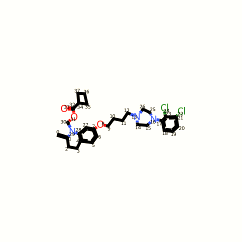 C=C1CCc2ccc(OCCCCN3CCN(c4cccc(Cl)c4Cl)CC3)cc2N1COC(=O)C1CCC1